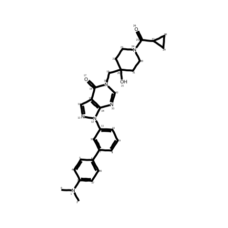 CN(C)c1ccc(-c2cccc(-n3ncc4c(=O)n(CC5(O)CCN(C(=O)C6CC6)CC5)cnc43)c2)cc1